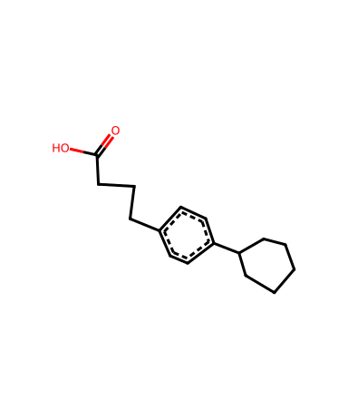 O=C(O)CCCc1ccc(C2CCCCC2)cc1